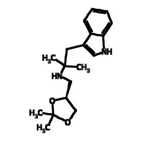 CC(C)(Cc1c[nH]c2ccccc12)NC[C@H]1COC(C)(C)O1